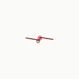 CCCCCCCCC=CCCCCCCCC(=O)OC(=O)C[N+](C)(C)C(=O)CCCCCCCC=CCCCCCCCC.[Cl-]